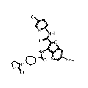 Nc1cnc2c(NC(=O)[C@H]3CC[C@H](N4CCCC4=O)CC3)c(C(=O)Nc3ccc(Cl)cn3)oc2c1